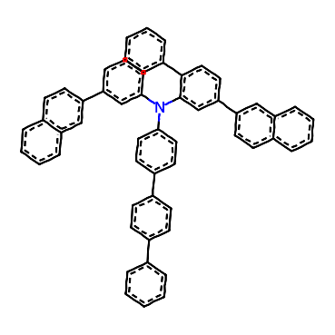 c1ccc(-c2ccc(-c3ccc(N(c4cccc(-c5ccc6ccccc6c5)c4)c4cc(-c5ccc6ccccc6c5)ccc4-c4ccccc4)cc3)cc2)cc1